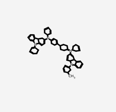 CC1C=CC=C(N2c3ccccc3C3C=C([N+](=C4CCC(C5=CC=C(N(C6=CC=C7C(C6)c6ccccc6N7C6=CC=CCC6)C6C=CC=CC6)CC5)CC4)C4CC=CCC4)C=CC32)C1